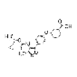 Cc1noc(-c2ccc(OC3CCCC(C(=O)O)C3)cc2)c1NC(=O)O[C@H](C)C1CC1